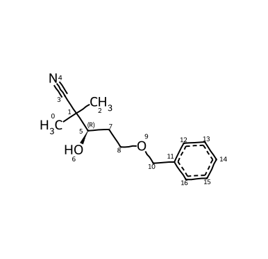 CC(C)(C#N)[C@H](O)CCOCc1ccccc1